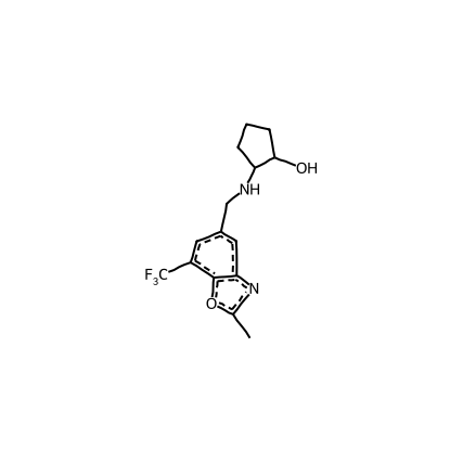 Cc1nc2cc(CNC3CCCC3O)cc(C(F)(F)F)c2o1